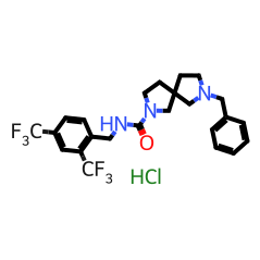 Cl.O=C(NCc1ccc(C(F)(F)F)cc1C(F)(F)F)N1CCC2(CCN(Cc3ccccc3)C2)C1